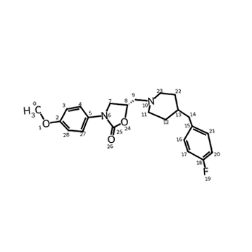 COc1ccc(N2C[C@H](CN3CCC(Cc4ccc(F)cc4)CC3)OC2=O)cc1